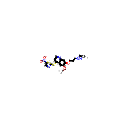 CCNCCCOc1cc2nccc(Sc3ncc([N+](=O)[O-])s3)c2cc1OC